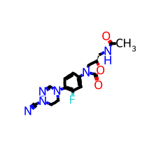 CC(=O)NC[C@H]1CN(c2ccc(N3C=NN(C#N)CC3)c(F)c2)C(=O)O1